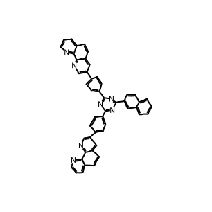 c1ccc2cc(-c3nc(-c4ccc(-c5cnc6c(ccc7cccnc76)c5)cc4)nc(-c4ccc(-c5cnc6c(ccc7cccnc76)c5)cc4)n3)ccc2c1